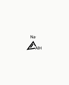 [CH]1=[CH][AlH]1.[Na]